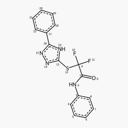 O=C(Nc1ccccc1)C(F)(F)Sc1nnc(-c2ccccc2)[nH]1